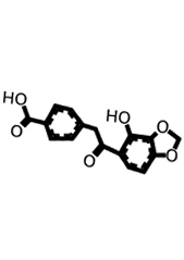 O=C(O)c1ccc(CC(=O)c2ccc3c(c2O)OCO3)cc1